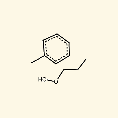 CCCOO.Cc1ccccc1